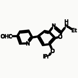 CCNc1nc2cc(-c3ccc(C=O)cn3)cc(OC(C)C)c2o1